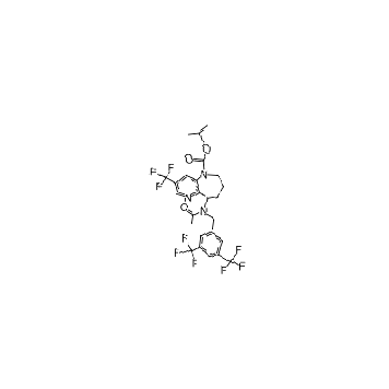 CC(=O)N(Cc1cc(C(F)(F)F)cc(C(F)(F)F)c1)C1CCCN(C(=O)OC(C)C)c2cc(C(F)(F)F)cnc21